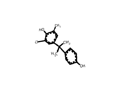 Cc1cc(C(C)(C)c2ccc(O)cc2)cc(Cl)c1O